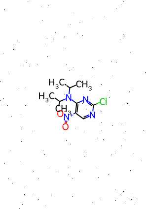 CC(C)N(c1nc(Cl)ncc1[N+](=O)[O-])C(C)C